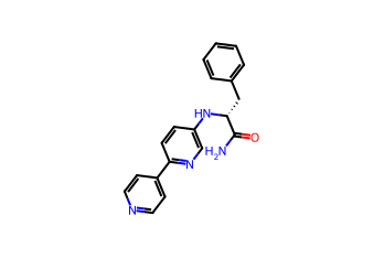 NC(=O)[C@@H](Cc1ccccc1)Nc1ccc(-c2ccncc2)nc1